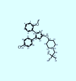 COc1ccccc1-n1nc(OC2CCN(CC(F)(F)F)CC2)cc1-c1ccc(Cl)cc1